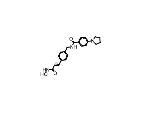 O=C(/C=C/c1ccc(CNC(=O)c2ccc(N3CCCC3)cc2)cc1)NO